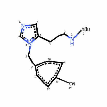 CCCCNCCc1cncn1Cc1ccc(C#N)cc1